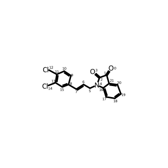 O=C1C(=O)N(CC=Cc2ccc(Cl)c(Cl)c2)c2ccccc21